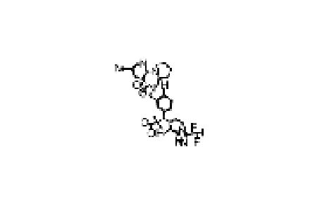 Cc1ccc([C@@H](c2ccn3c(C(F)(F)F)nnc3c2C)C(C)(C)C(=O)O)cc1CN1C[C@H]2CCCCN2c2ncc(C#N)cc2S1(=O)=O